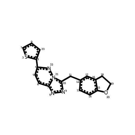 c1csc(-c2ccc3nnc(Cc4ccc5c(c4)CCO5)n3n2)c1